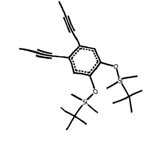 CC#Cc1cc(O[Si](C)(C)C(C)(C)C)c(O[Si](C)(C)C(C)(C)C)cc1C#CC